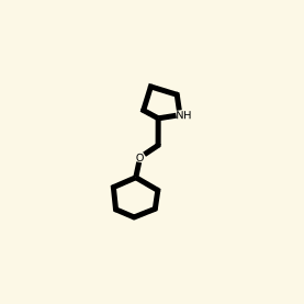 C1CCC(OCC2CCCN2)CC1